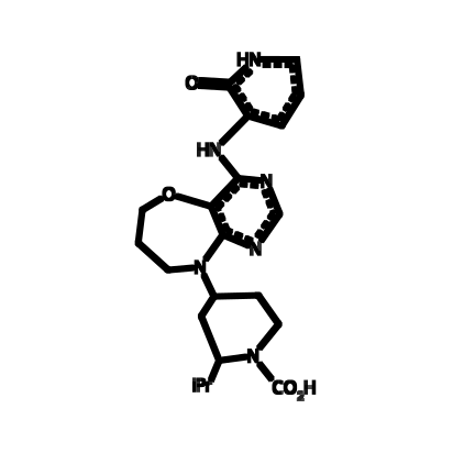 CC(C)C1CC(N2CCCOc3c(Nc4ccc[nH]c4=O)ncnc32)CCN1C(=O)O